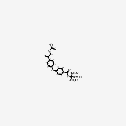 CCOC(=O)C(CC(=O)c1ccc(Sc2ccc(C(=O)COC(=O)C(C)C)cc2)cc1)(NC(C)=O)C(=O)OCC